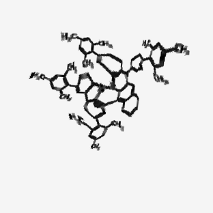 Cc1cc(C)c(-c2ccc(N3c4ccc(-c5c(C)cc(C)cc5C)cc4B4c5c3cc3c(c5-c5cc(-c6c(C)cc(C)cc6C)cc6c7cc(-c8c(C)cc(C)cc8C)ccc7n4c56)CCCC3)cc2)c(C)c1